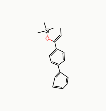 CC=C(O[Si](C)(C)C)c1ccc(-c2ccccc2)cc1